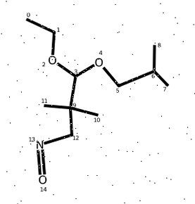 CCOC(OCC(C)C)C(C)(C)CN=O